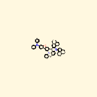 CCC1C=CC2=C3B(c4cc5oc6cc(N(c7ccccc7)c7ccccc7)ccc6c5cc4N(c4ccccc4)C31)c1cc3c4c(c1N2c1ccc2c5c1CCCC5CCC2)CCCC4CCC3